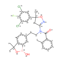 Cc1ccccc1C(=O)N(CCc1ccc2c(c1)B(O)OC2(C)C)C1=NOC(c2cc(Cl)c(F)c(Cl)c2)(C(F)(F)F)C1